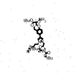 CC(C)(C)OC(=O)NC[C@@H](Cn1cc(-c2ccc3c(c2)CC[C@H]([C@](C)(ON)C(=O)OC(C)(C)C)O3)c[n+]1CCCN=[N+]=[N-])O[Si](C)(C)C(C)(C)C